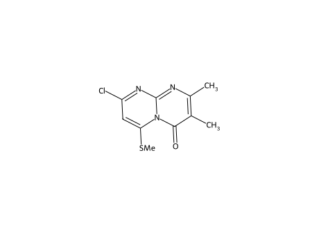 CSc1cc(Cl)nc2nc(C)c(C)c(=O)n12